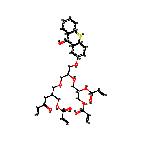 C=CC(=O)CC(COCC(COc1ccc2sc3ccccc3c(=O)c2c1)OCC(COC(=O)C=C)OC(=O)C=C)COC(=O)C=C